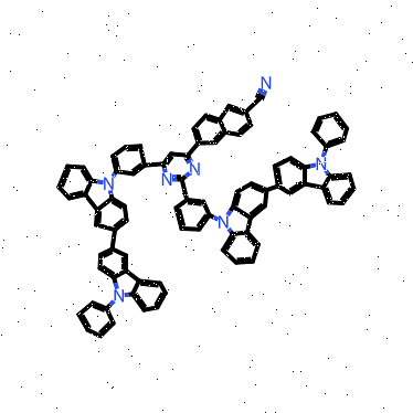 N#Cc1ccc2cc(-c3cc(-c4cccc(-n5c6ccccc6c6cc(-c7ccc8c(c7)c7ccccc7n8-c7ccccc7)ccc65)c4)nc(-c4cccc(-n5c6ccccc6c6cc(-c7ccc8c(c7)c7ccccc7n8-c7ccccc7)ccc65)c4)n3)ccc2c1